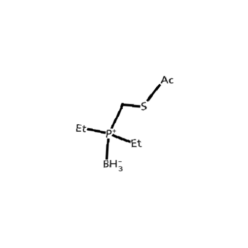 [BH3-][P+](CC)(CC)CSC(C)=O